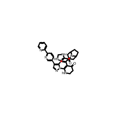 O=C1CCNc2c1c(C1CC3CCC(C1)N3C(=O)C1=NNCN1)nc1c(-c3ccc(-c4ccccn4)nc3)cnn21